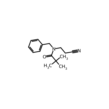 CC(C)(C)C(=O)N(CCC#N)Cc1ccccc1